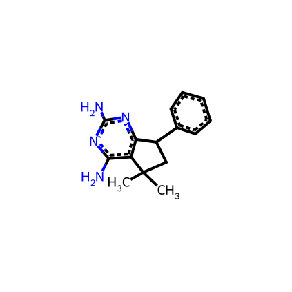 CC1(C)CC(c2ccccc2)c2nc(N)nc(N)c21